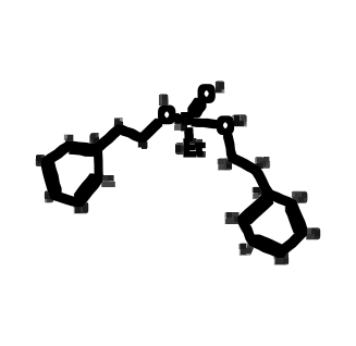 CCP(=O)(OCCc1ccccc1)OCCc1ccccc1